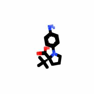 CC(C)(C)[C@@]1(C(=O)O)CCCN1c1ccc(N)cc1